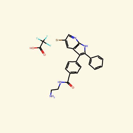 NCCNC(=O)c1ccc(-c2c(-c3ccccc3)[nH]c3ncc(Br)cc23)cc1.O=C(O)C(F)(F)F